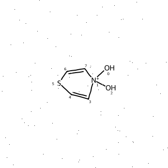 O[N+]1(O)C=CSC=C1